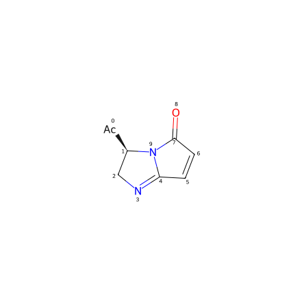 CC(=O)[C@@H]1CN=C2C=CC(=O)N21